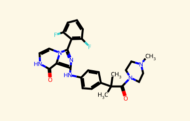 CN1CCN(C(=O)C(C)(C)c2ccc(Nc3nc(-c4c(F)cccc4F)n4cc[nH]c(=O)c34)cc2)CC1